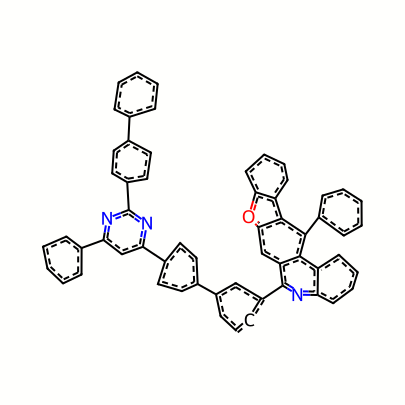 c1ccc(-c2ccc(-c3nc(-c4ccccc4)cc(-c4ccc(-c5cccc(-c6nc7ccccc7c7c(-c8ccccc8)c8c(cc67)oc6ccccc68)c5)cc4)n3)cc2)cc1